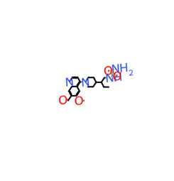 CCC(CNS(N)(=O)=O)C1CCN(c2ccnc3cc(C=O)c(OC)cc23)CC1